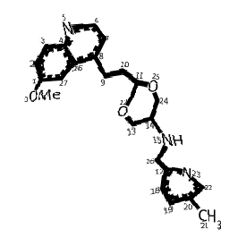 COc1ccc2nccc(CCC3OCC(NCc4ccc(C)cn4)CO3)c2c1